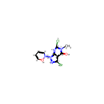 Cn1c(Cl)nc2c(c(Br)nn2N2C=CC=CO2)c1=O